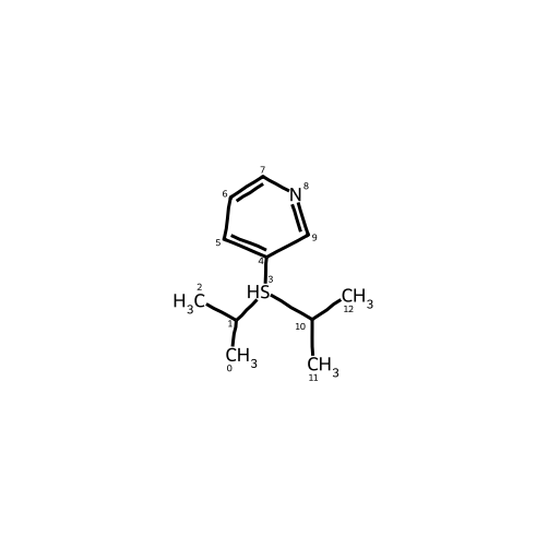 CC(C)[SH](c1cccnc1)C(C)C